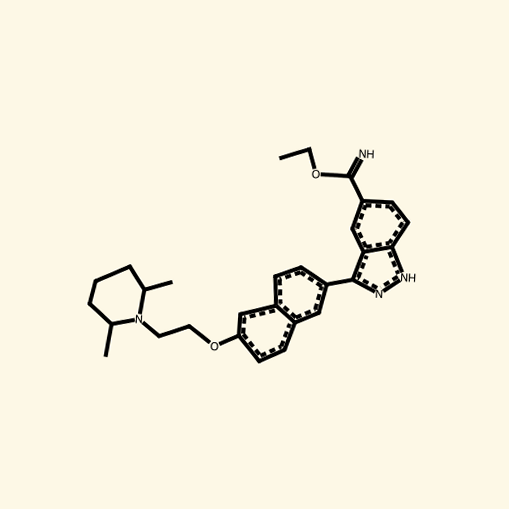 CCOC(=N)c1ccc2[nH]nc(-c3ccc4cc(OCCN5C(C)CCCC5C)ccc4c3)c2c1